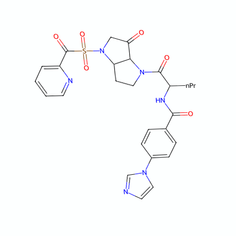 CCCC(NC(=O)c1ccc(-n2ccnc2)cc1)C(=O)N1CCC2C1C(=O)CN2S(=O)(=O)C(=O)c1ccccn1